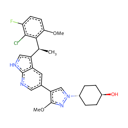 COc1ccc(F)c(Cl)c1[C@@H](C)c1c[nH]c2ncc(-c3cn([C@H]4CC[C@H](O)CC4)nc3OC)cc12